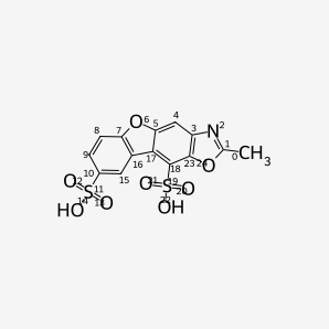 Cc1nc2cc3oc4ccc(S(=O)(=O)O)cc4c3c(S(=O)(=O)O)c2o1